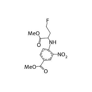 COC(=O)c1ccc(NC(CCF)C(=O)OC)c([N+](=O)[O-])c1